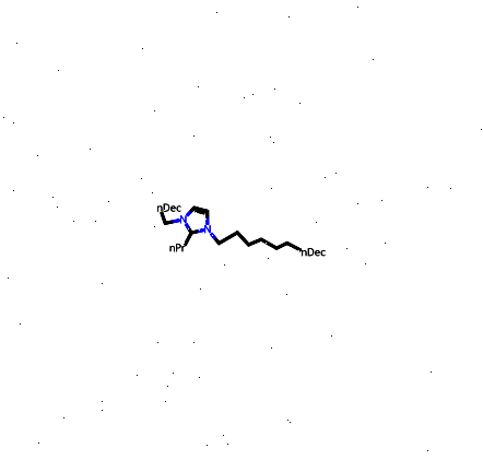 CCCCCCCCCCCCCCCCN1C=CN(CCCCCCCCCCC)C1CCC